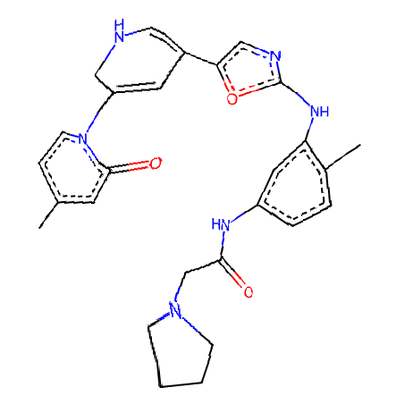 Cc1ccn(C2=CC(c3cnc(Nc4cc(NC(=O)CN5CCCC5)ccc4C)o3)=CNC2)c(=O)c1